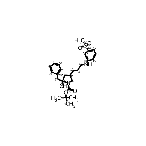 CC(C)(C)OC(=O)N1CC(CCCNc2cccc(S(C)(=O)=O)n2)CC1(C)Cc1ccccc1